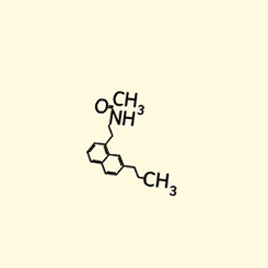 CCCc1ccc2cccc(CCNC(C)=O)c2c1